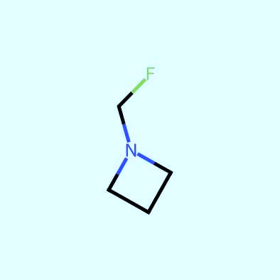 FCN1CCC1